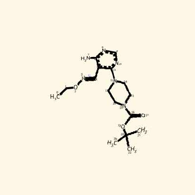 CCO/N=C/c1c(N)ncnc1N1CCN(C(=O)OC(C)(C)C)CC1